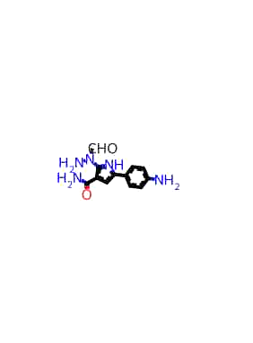 NC(=O)c1cc(-c2ccc(N)cc2)[nH]c1N(N)C=O